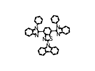 c1ccc(-n2c(-c3ccc(-c4nc5ccccc5n4-c4ccccc4)c4sc(-n5c6ccccc6c6ccccc65)nc34)nc3ccccc32)cc1